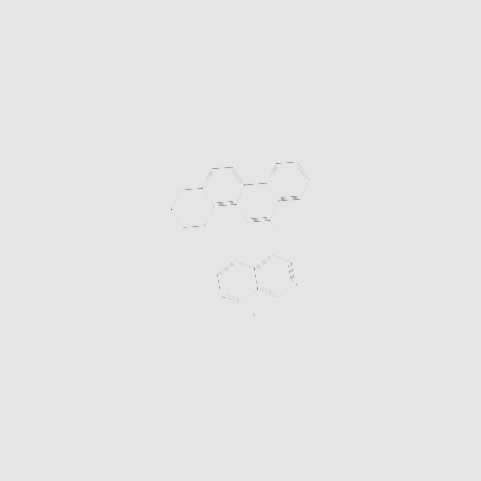 Cl.Clc1cc2c3c(ccc2c2ccccc12)CCCC3.c1cc2ccncc2cn1